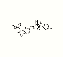 CCOC(=O)c1c(C)oc2ccc(C=NNS(=O)(=O)c3ccc(C)cc3)cc12